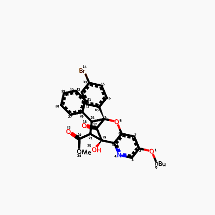 CCCCOc1cnc2c(c1)O[C@]1(c3ccc(Br)cc3)C(=O)[C@@]2(O)C(C(=O)OC)C1c1ccccc1